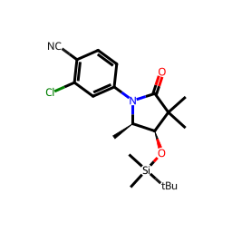 C[C@@H]1[C@H](O[Si](C)(C)C(C)(C)C)C(C)(C)C(=O)N1c1ccc(C#N)c(Cl)c1